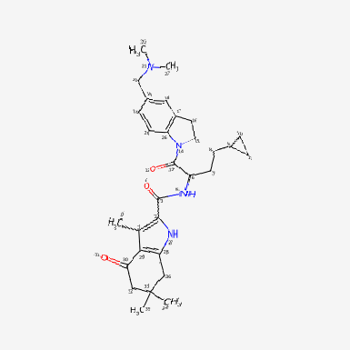 Cc1c(C(=O)NC(CCC2CC2)C(=O)N2CCc3cc(CN(C)C)ccc32)[nH]c2c1C(=O)CC(C)(C)C2